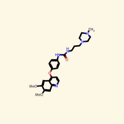 COc1cc2nccc(Oc3ccc(NC(=O)NCCCN4CCN(C)CC4)cc3)c2cc1OC